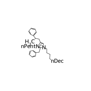 CCCCCCCCCCCCCCn1cc(CC(C)c2ccccc2)[n+](CCCCC)c1Cc1ccccc1